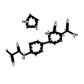 CC(=O)C(=O)Nc1ccc(-c2ccc(C(=O)O)c(=O)[nH]2)cc1.c1c[nH]cn1